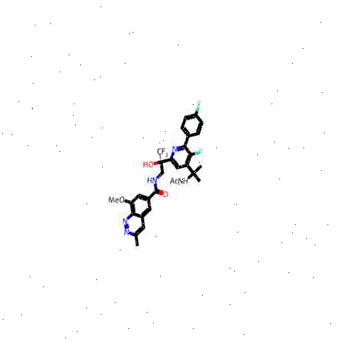 COc1cc(C(=O)NC[C@@](O)(c2cc(C(C)(C)NC(C)=O)c(F)c(-c3ccc(F)cc3)n2)C(F)(F)F)cc2cc(C)nnc12